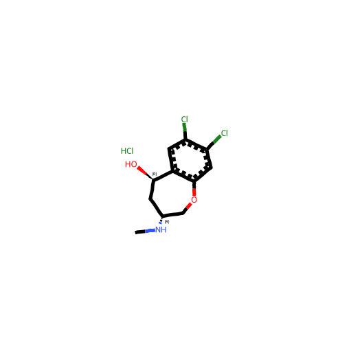 CN[C@H]1COc2cc(Cl)c(Cl)cc2[C@H](O)C1.Cl